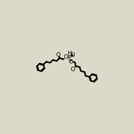 O=C(CCCCc1ccccc1)CO[PH](=O)OCC(=O)CCCCc1ccccc1